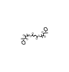 CC(C)(COC(=O)/C=C/C(=O)OCC(C)(C)C(=O)C(=O)NC1CCCCC1)C(=O)C(=O)NC1CCCCC1